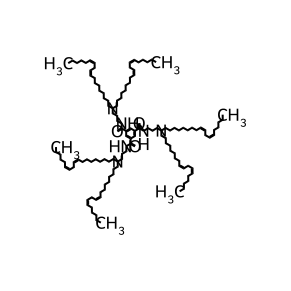 CCCCC/C=C\C/C=C\CCCCCCCCN(CCCCCCCC/C=C\C/C=C\CCCCC)CCCNC(=O)c1cc(C(=O)NCCCN(CCCCCCCC/C=C\C/C=C\CCCCC)CCCCCCCC/C=C\C/C=C\CCCCC)cc(C(=O)NCCCN(CCCCCCCC/C=C\C/C=C\CCCCC)CCCCCCCC/C=C\C/C=C\CCCCC)c1